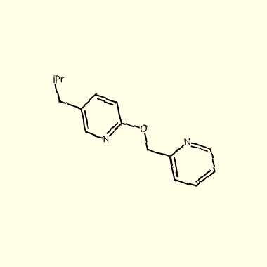 CC(C)Cc1ccc(OCc2ccccn2)nc1